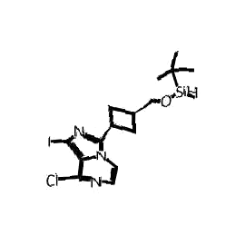 C[SiH](OC[C@H]1C[C@@H](c2nc(I)c3c(Cl)nccn32)C1)C(C)(C)C